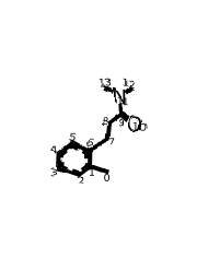 Cc1ccccc1CCC(=O)N(C)C